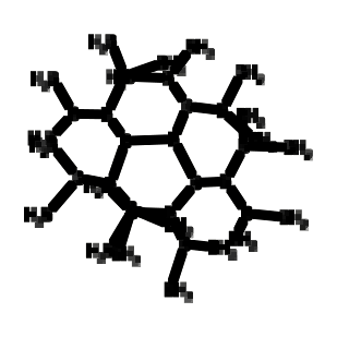 BB(B)B(B(B)B)B(B(B(B)B)B(B)B)B(B(B(B)B)B(B)B)B(B(B(B)B)B(B)B)B(B(B)B)B(B)B